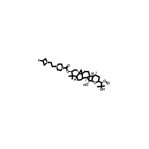 CCO[C@@H](C1C[C@@H](C)[C@H]2C(O1)[C@H](O)[C@@]1(C)C3CC[C@H]4C(C)(C)[C@@H](OC(=O)N5CCN(CCN6CC(F)C6)CC5)CC[C@@]45CC35CC[C@]21C)C(C)(C)O